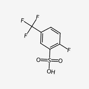 O=S(=O)(O)c1cc(C(F)(F)F)ccc1F